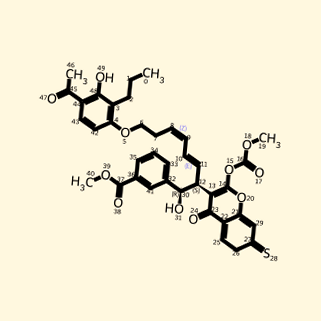 CCCc1c(OCC/C=C\C=C\[C@@H](c2c(OC(=O)OC)oc3c(c2=O)=CCC(=S)C=3)[C@@H](O)c2cccc(C(=O)OC)c2)ccc(C(C)=O)c1O